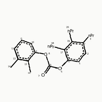 CCCc1ccc(OC(=O)Oc2cccc(C)c2C)c(CCC)c1CCC